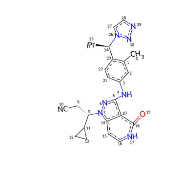 Cc1cc(Nc2nn([C@@H](CC#N)C3CC3)c3cc[nH]c(=O)c23)ccc1[C@@H](C(C)C)n1ccnn1